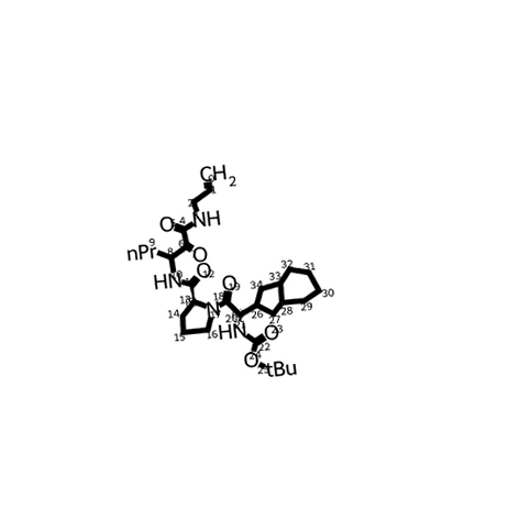 C=CCNC(=O)C(=O)C(CCC)NC(=O)[C@@H]1CCCN1C(=O)[C@@H](NC(=O)OC(C)(C)C)C1CC2CCCCC2C1